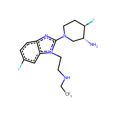 N[C@@H]1CN(c2nc3ccc(F)cc3n2CCNCC(F)(F)F)CC[C@H]1F